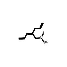 C=C/C=C(/CC=C)CN(I)C(C)C